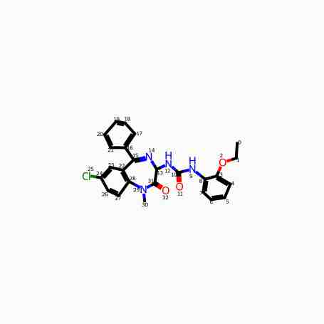 CCOc1ccccc1NC(=O)NC1N=C(c2ccccc2)c2cc(Cl)ccc2N(C)C1=O